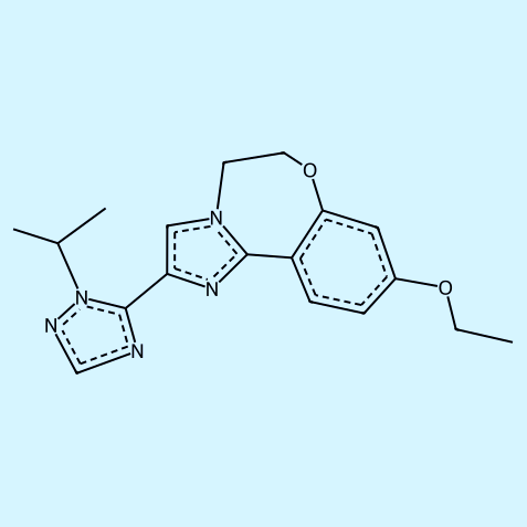 CCOc1ccc2c(c1)OCCn1cc(-c3ncnn3C(C)C)nc1-2